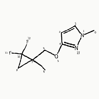 Cn1ccc(OCC2(C)CC2(F)F)n1